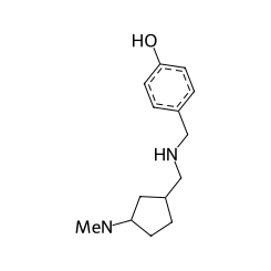 CNC1CCC(CNCc2ccc(O)cc2)C1